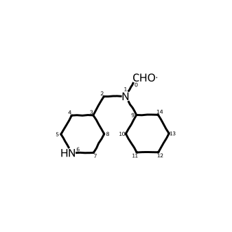 O=[C]N(CC1CCNCC1)C1CCCCC1